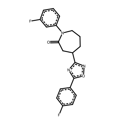 O=C1CC(c2noc(-c3ccc(F)cc3)n2)CCCN1c1cccc(F)c1